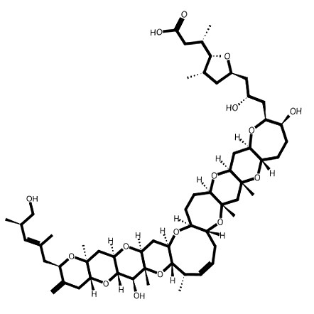 C=C1C[C@H]2O[C@@H]3[C@@H](C[C@]2(C)O[C@@H]1C/C(C)=C/[C@@H](C)CO)O[C@H]1C[C@H]2O[C@H]4CC[C@H]5O[C@H]6C[C@H]7O[C@@H](C[C@H](O)C[C@H]8C[C@H](C)[C@H]([C@@H](C)CC(=O)O)O8)[C@@H](O)CC[C@@H]7O[C@]6(C)C[C@]5(C)O[C@@H]4C/C=C\[C@H](C)[C@@H]2O[C@]1(C)[C@H]3O